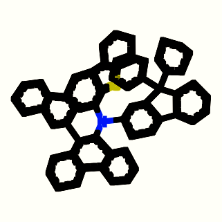 c1ccc(C2(c3ccccc3)c3ccccc3-c3ccc(N(c4c(-c5ccc6ccccc6c5)c5ccccc5c5ccccc45)c4cccc5c4sc4ccccc45)cc32)cc1